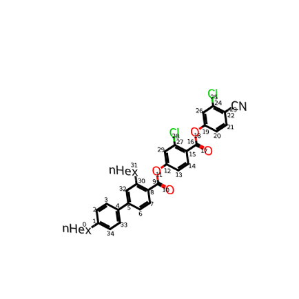 CCCCCCc1ccc(-c2ccc(C(=O)Oc3ccc(C(=O)Oc4ccc(C#N)c(Cl)c4)c(Cl)c3)c(CCCCCC)c2)cc1